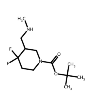 CNCC1CN(C(=O)OC(C)(C)C)CCC1(F)F